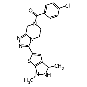 CC1NN(C)c2sc(-c3nnc4n3CCN(C(=O)c3ccc(Cl)cc3)C4)cc21